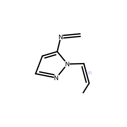 C=Nc1ccnn1/C=C\C